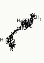 Cc1ncsc1-c1ccc(CNC(=O)[C@@H]2C[C@@H](O)CN2C(=O)C(C(C)C)N2CC(OCCOCCOCCOc3ccc(N4C(=S)N(c5ccc(C#N)c(C(F)(F)F)c5)C(=O)C4(C)C)cc3)=CC2=O)cc1